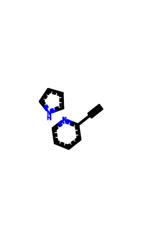 C#Cc1ccccn1.c1cc[nH]c1